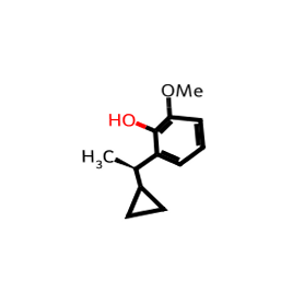 COc1cccc([C@H](C)C2CC2)c1O